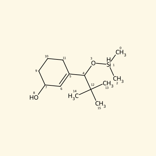 C[SiH](C)OC(C1=CC(O)CCC1)C(C)(C)C